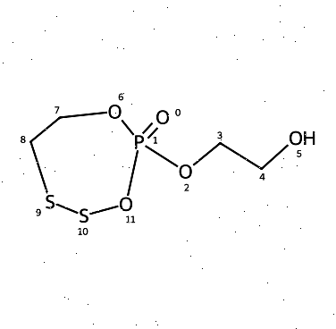 O=P1(OCCO)OCCSSO1